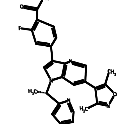 Cc1noc(C)c1-c1cnc2c(-c3ccc(C(=O)O)c(F)c3)cn([C@@H](C)c3ccccn3)c2c1